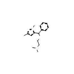 Cc1cc(C(OCCN(C)C)c2ccccc2)n(C)n1